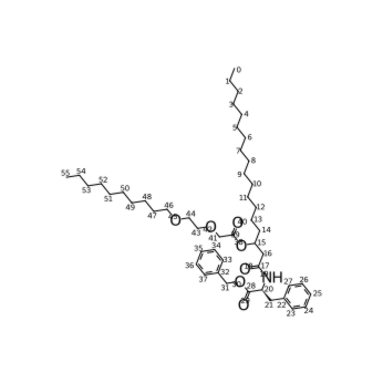 CCCCCCCCCCCCCCCC(CC(=O)N[C@@H](Cc1ccccc1)C(=O)OCc1ccccc1)OC(=O)COCCOCCCCCCCCCC